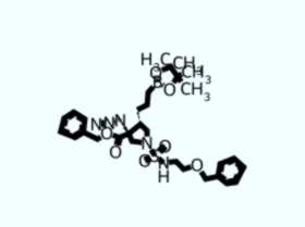 CC1(C)OB(CCC[C@@H]2CN(S(=O)(=O)NCCOCc3ccccc3)C[C@]2(N=[N+]=[N-])C(=O)OCc2ccccc2)OC1(C)C